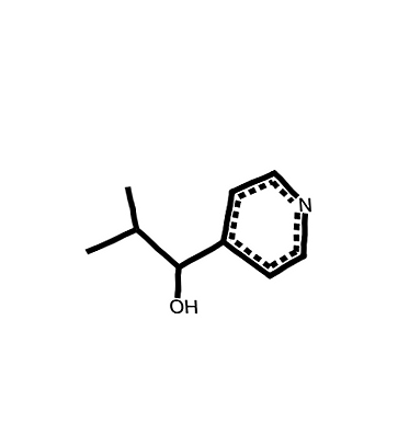 CC(C)C(O)c1ccncc1